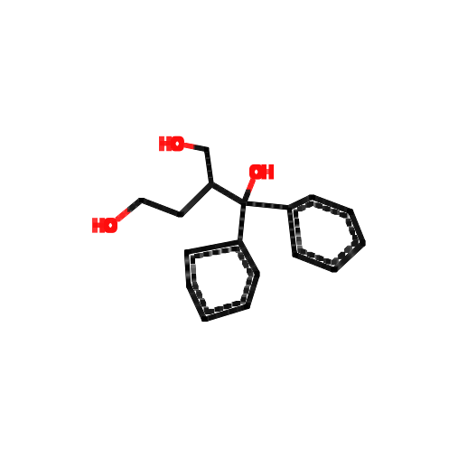 OCCC(CO)C(O)(c1ccccc1)c1ccccc1